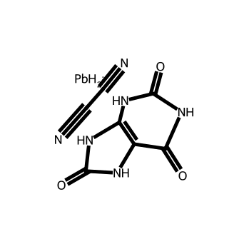 N#CC#N.O=c1[nH]c(=O)c2[nH]c(=O)[nH]c2[nH]1.[PbH2]